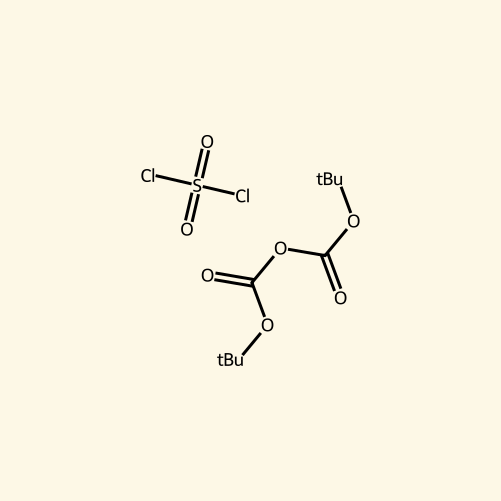 CC(C)(C)OC(=O)OC(=O)OC(C)(C)C.O=S(=O)(Cl)Cl